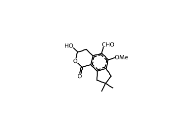 COc1c(C=O)c2c(c3c1CC(C)(C)C3)C(=O)OC(O)C2